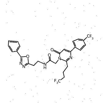 O=C(Cn1c(CCCC(F)(F)F)nc(-c2ccc(C(F)(F)F)cc2)cc1=O)NCCc1nnc(-c2ccccc2)o1